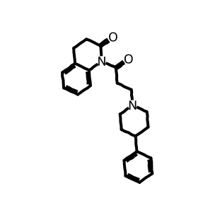 O=C1CCc2ccccc2N1C(=O)CCN1CCC(c2ccccc2)CC1